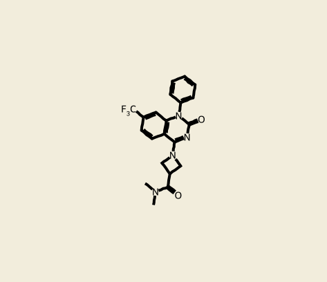 CN(C)C(=O)C1CN(c2nc(=O)n(-c3ccccc3)c3cc(C(F)(F)F)ccc23)C1